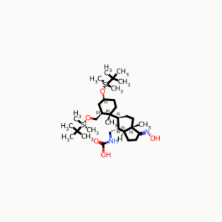 CC(C)(C)[Si](C)(C)OC[C@H]1C[C@@H](O[Si](C)(C)C(C)(C)C)CC[C@]1(C)[C@H]1CC[C@]2(C)C(=NO)CC[C@H]2[C@@H]1CNC(=O)O